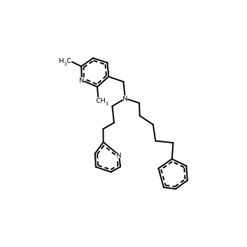 Cc1ccc(CN(CCCCCc2ccccc2)CCCc2ccccn2)c(C)n1